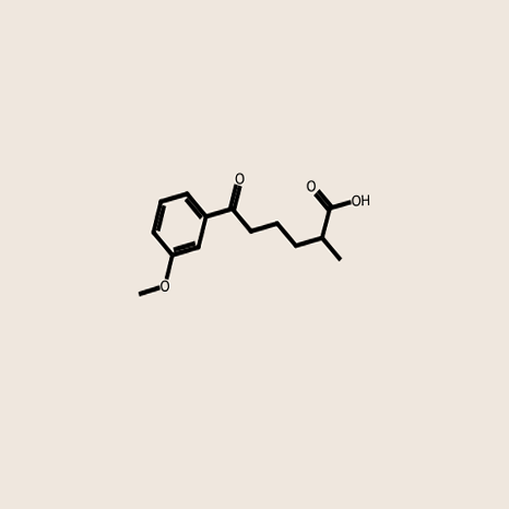 COc1cccc(C(=O)CCCC(C)C(=O)O)c1